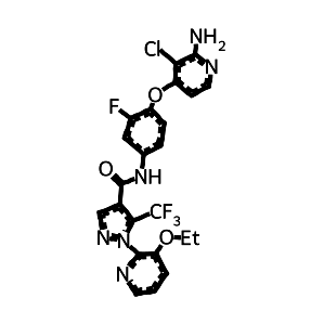 CCOc1cccnc1-n1ncc(C(=O)Nc2ccc(Oc3ccnc(N)c3Cl)c(F)c2)c1C(F)(F)F